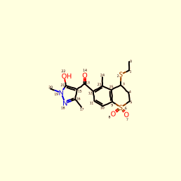 CCSC1CCS(=O)(=O)c2ccc(C(=O)c3c(C)nn(C)c3O)c(C)c21